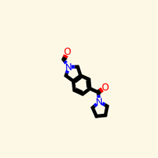 O=CN1Cc2ccc(C(=O)N3CCCC3)cc2C1